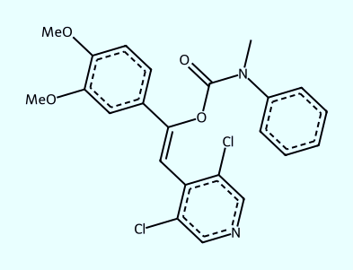 COc1ccc(C(=Cc2c(Cl)cncc2Cl)OC(=O)N(C)c2ccccc2)cc1OC